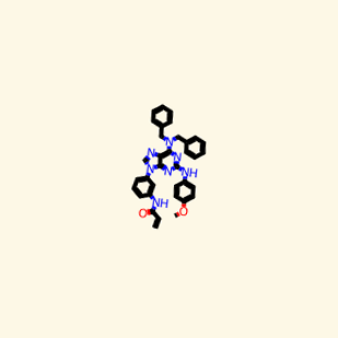 C=CC(=O)Nc1cccc(-n2cnc3c(N(Cc4ccccc4)Cc4ccccc4)nc(Nc4ccc(OC)cc4)nc32)c1